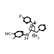 Cc1cc(NC(=O)[C@](N)(Cc2ccccc2)CS(=O)(=O)c2ccc(F)cc2)ccc1C#N